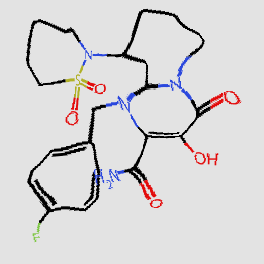 NC(=O)C1=C(O)C(=O)N2CCCC(N3CCCCS3(=O)=O)C2N1Cc1ccc(F)cc1